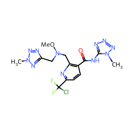 CON(Cc1nnn(C)n1)Cc1nc(C(F)(F)Cl)ccc1C(=O)Nc1nnnn1C